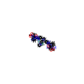 COC(=O)N[C@H](C(=O)N1C(c2nc3cc([C@H]4CC[C@H](c5ccc6[nH]c([C@@H]7C[C@@H]8CCC[C@@H]8N7C(=O)[C@@H](NC(=O)OC)C(C)C)nc6c5)N4c4cc(F)c(N5CCCCC5)c(F)c4)ccc3[nH]2)C[C@@H]2CCC[C@@H]21)C(C)C